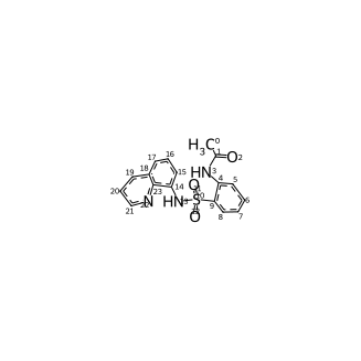 CC(=O)Nc1ccccc1S(=O)(=O)Nc1cccc2cccnc12